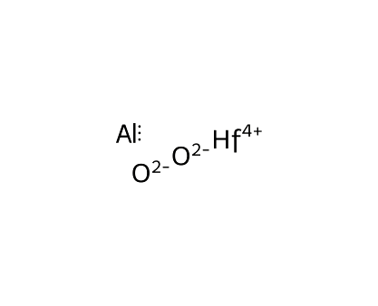 [Al].[Hf+4].[O-2].[O-2]